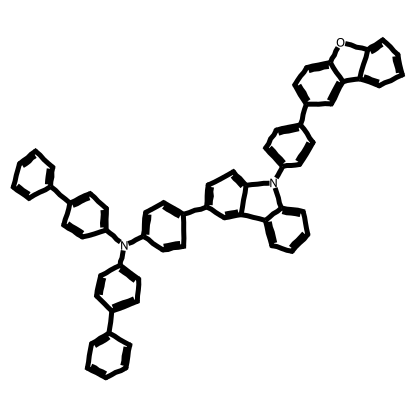 c1ccc(-c2ccc(N(c3ccc(-c4ccccc4)cc3)c3ccc(-c4ccc5c(c4)c4ccccc4n5-c4ccc(-c5ccc6oc7ccccc7c6c5)cc4)cc3)cc2)cc1